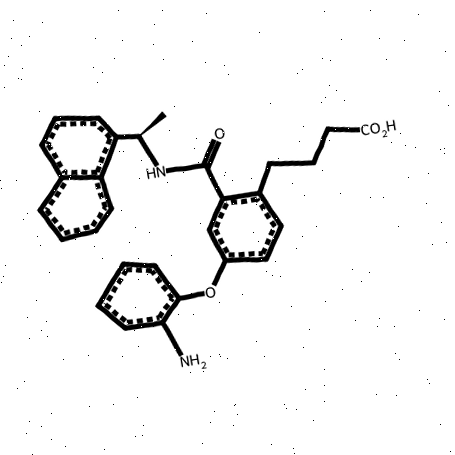 C[C@@H](NC(=O)c1cc(Oc2ccccc2N)ccc1CCCC(=O)O)c1cccc2ccccc12